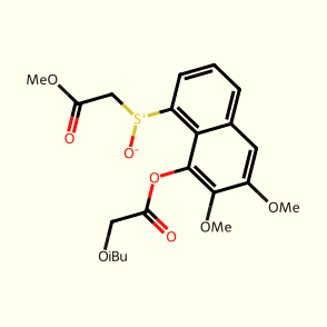 COC(=O)C[S+]([O-])c1cccc2cc(OC)c(OC)c(OC(=O)COCC(C)C)c12